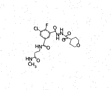 CNC(=O)CCNC(=O)c1cc(Cl)c(F)c(C(=O)NNS(=O)(=O)C2CCOCC2)c1